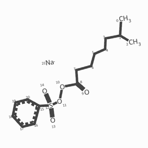 CC(C)CCCCCC(=O)OOS(=O)(=O)c1ccccc1.[Na]